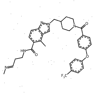 C/N=C/CCNC(=O)c1ccc2nn(CC3CCN(C(=O)c4ccc(Oc5ccc(C(F)(F)F)cc5)cc4)CC3)cc2c1C